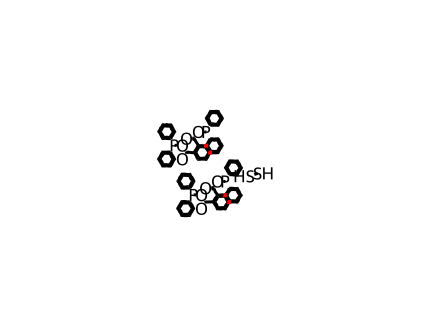 O=C(OP(c1ccccc1)c1ccccc1)c1ccccc1C(=O)OP(c1ccccc1)c1ccccc1.O=C(OP(c1ccccc1)c1ccccc1)c1ccccc1C(=O)OP(c1ccccc1)c1ccccc1.SS